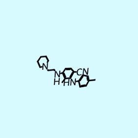 Cc1ccc(Nc2c(C#N)ccc(NCCN3CCCCC3)c2C)cc1